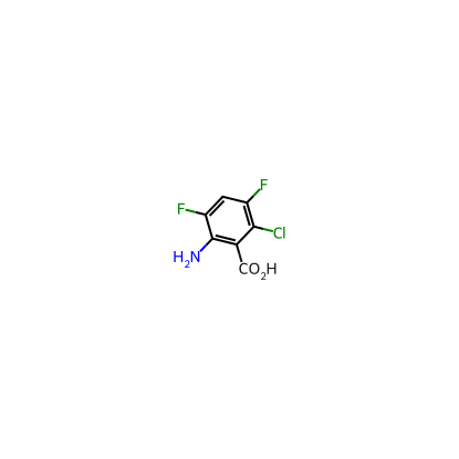 Nc1c(F)cc(F)c(Cl)c1C(=O)O